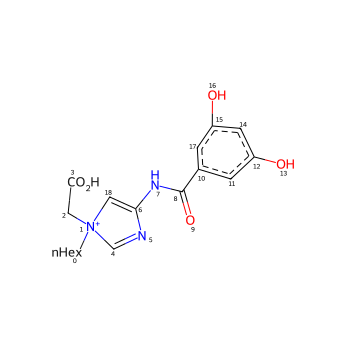 CCCCCC[N+]1(CC(=O)O)C=NC(NC(=O)c2cc(O)cc(O)c2)=C1